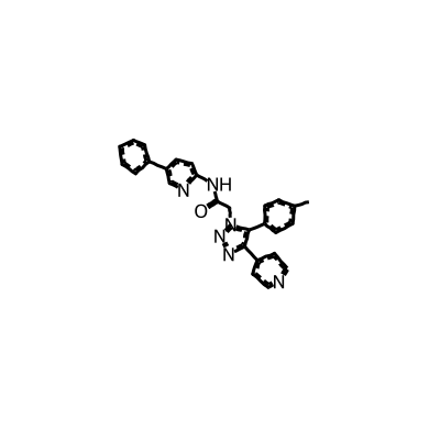 Cc1ccc(-c2c(-c3ccncc3)nnn2CC(=O)Nc2ccc(-c3ccccc3)cn2)cc1